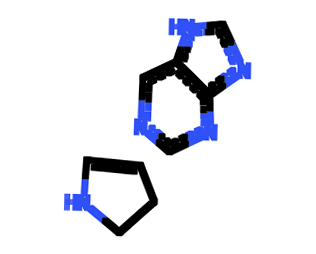 C1=CNCC1.c1ncc2[nH]cnc2n1